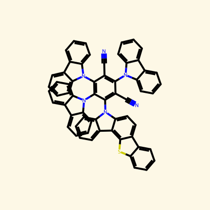 N#Cc1c(-n2c3ccccc3c3ccccc32)c(C#N)c(-n2c3ccccc3c3c4sc5ccccc5c4ccc32)c(-n2c3ccccc3c3ccccc32)c1-n1c2ccccc2c2ccccc21